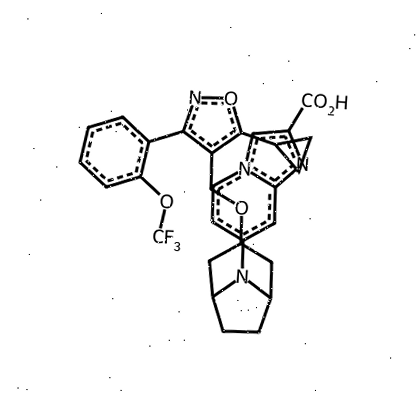 O=C(O)c1cn2ccc(N3C4CCC3CC(OCc3c(-c5ccccc5OC(F)(F)F)noc3C3CC3)C4)cc2n1